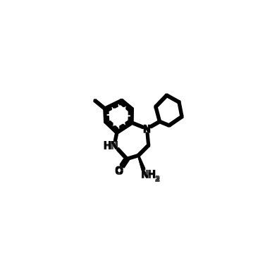 Cc1ccc2c(c1)NC(=O)[C@H](N)CN2C1CCCCC1